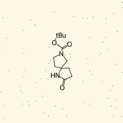 CC(C)(C)OC(=O)N1CCC2(CCC(=O)N2)C1